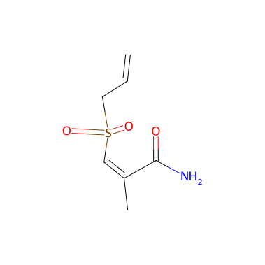 C=CCS(=O)(=O)C=C(C)C(N)=O